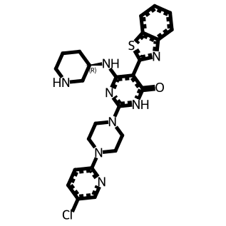 O=c1[nH]c(N2CCN(c3ccc(Cl)cn3)CC2)nc(N[C@@H]2CCCNC2)c1-c1nc2ccccc2s1